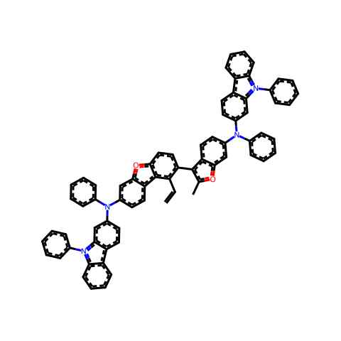 C=Cc1c(-c2c(C)oc3cc(N(c4ccccc4)c4ccc5c6ccccc6n(-c6ccccc6)c5c4)ccc23)ccc2oc3cc(N(c4ccccc4)c4ccc5c6ccccc6n(-c6ccccc6)c5c4)ccc3c12